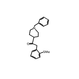 CSc1ccccc1CC(=O)C1CCN(Cc2ccccc2)CC1